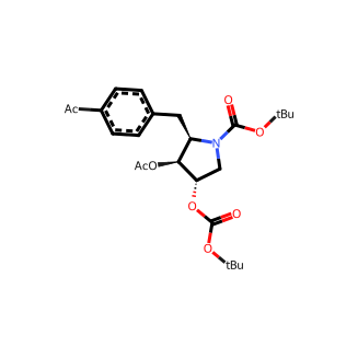 CC(=O)O[C@@H]1[C@@H](OC(=O)OC(C)(C)C)CN(C(=O)OC(C)(C)C)[C@@H]1Cc1ccc(C(C)=O)cc1